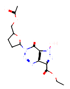 CCOC(=O)c1nn(O)c2c(=O)n(C3[CH][CH]C(COC(C)=O)O3)nnc12